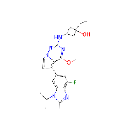 CCC1(O)CC(Nc2nc(OC)c3c(-c4cc(F)c5nc(C)n(C(C)C)c5c4)ccn3n2)C1